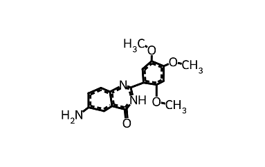 COc1cc(OC)c(-c2nc3ccc(N)cc3c(=O)[nH]2)cc1OC